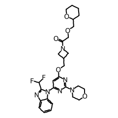 O=C(COCC1CCCCO1)N1CC(COc2cc(-n3c(C(F)F)nc4ccccc43)nc(N3CCOCC3)n2)C1